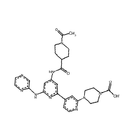 CC(=O)N1CCC(C(=O)Nc2cc(Nc3cnccn3)nc(-c3ccnc(N4CCN(C(=O)O)CC4)c3)c2)CC1